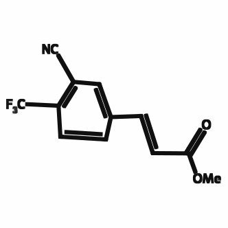 COC(=O)C=Cc1ccc(C(F)(F)F)c(C#N)c1